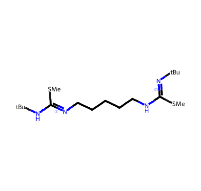 CS/C(=N\C(C)(C)C)NCCCCC/N=C(/NC(C)(C)C)SC